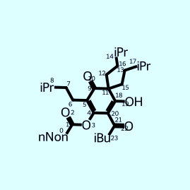 CCCCCCCCCC(=O)OC1=C(CCC(C)C)C(=O)C(CCC(C)C)(CCC(C)C)C(O)=C1C(=O)C(C)CC